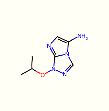 CC(C)On1ncn2c(N)cnc12